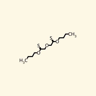 CCCCOC(=S)COCC(=S)OCCCC